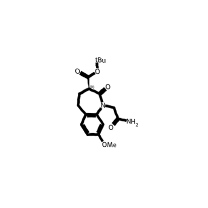 COc1ccc2c(c1)N(CC(N)=O)C(=O)[C@H](C(=O)OC(C)(C)C)CC2